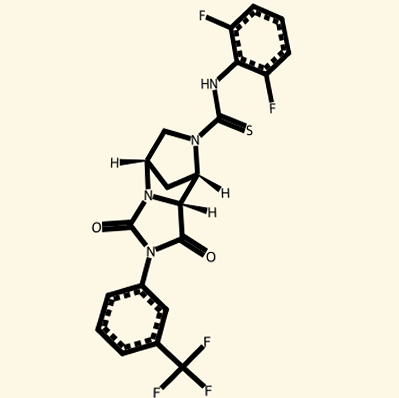 O=C1[C@H]2[C@@H]3C[C@@H](CN3C(=S)Nc3c(F)cccc3F)N2C(=O)N1c1cccc(C(F)(F)F)c1